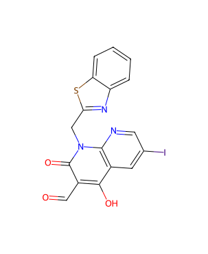 O=Cc1c(O)c2cc(I)cnc2n(Cc2nc3ccccc3s2)c1=O